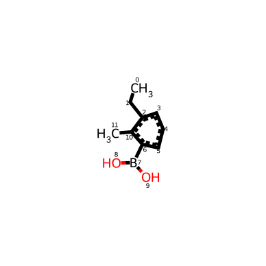 CCc1cccc(B(O)O)c1C